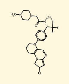 CN1CCN(CC(=O)N(C)[C@@H](c2ccc(N3CCCC4=C3C=NC3=CC(Cl)CN34)cc2)C(F)(F)F)CC1